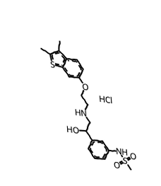 Cc1sc2cc(OCCNCC(O)c3cccc(NS(C)(=O)=O)c3)ccc2c1C.Cl